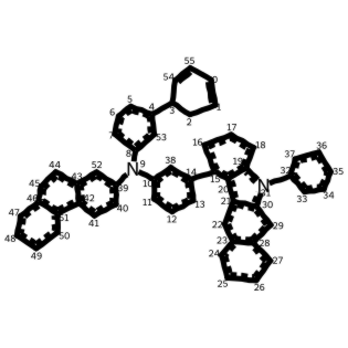 C1=CCC(c2cccc(N(c3cccc(-c4cccc5c4c4cc6ccccc6cc4n5-c4ccccc4)c3)c3ccc4c(ccc5ccccc54)c3)c2)C=C1